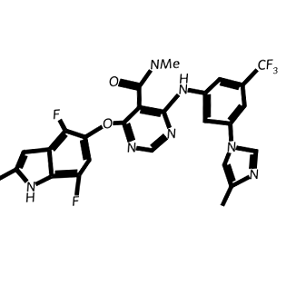 CNC(=O)c1c(Nc2cc(-n3cnc(C)c3)cc(C(F)(F)F)c2)ncnc1Oc1cc(F)c2[nH]c(C)cc2c1F